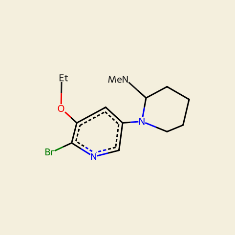 CCOc1cc(N2CCCCC2NC)cnc1Br